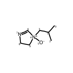 CC(C)C[N+]1([O-])C=NCC1